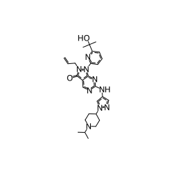 C=CCn1c(=O)c2cnc(Nc3cnn(C4CCN(C(C)C)CC4)c3)nc2n1-c1cccc(C(C)(C)O)n1